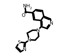 NC(=O)c1ccc2cncc(N3CCN(c4nccs4)CC3)c2c1